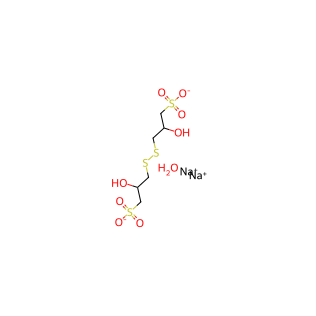 O.O=S(=O)([O-])CC(O)CSSCC(O)CS(=O)(=O)[O-].[Na+].[Na+]